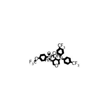 CN=S(=O)(NC1COCC(N(c2ccc(C(F)(F)F)cc2)c2ccc(C(F)(F)F)cc2)C1O)c1ccc(OC(F)(F)F)cc1